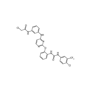 O=C(CCl)Nc1cccc(Nc2ccnc(Oc3ccccc3NC(=O)Nc3ccc(Cl)c(C(F)(F)F)c3)n2)c1